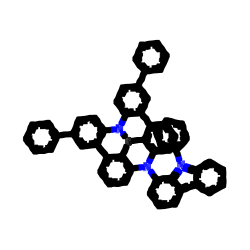 c1ccc(-c2ccc3c(c2)-c2cccc4c2B2c5c(cccc5N4c4cccc5c6ccccc6n(-c6ccccc6)c45)-c4cc(-c5ccccc5)ccc4N23)cc1